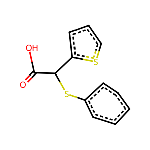 O=C(O)C(Sc1ccccc1)c1cccs1